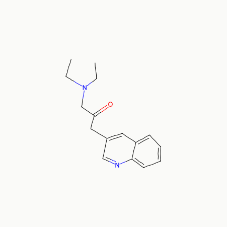 CCN(CC)CC(=O)Cc1cnc2ccccc2c1